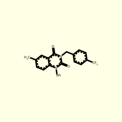 CCCn1c(=O)n(Cc2ccc(C(F)(F)F)cc2)c(=O)c2cc(C)ccc21